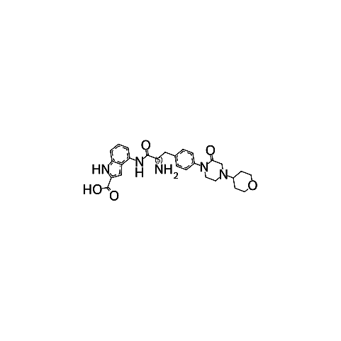 N[C@@H](Cc1ccc(N2CCN(C3CCOCC3)CC2=O)cc1)C(=O)Nc1cccc2[nH]c(C(=O)O)cc12